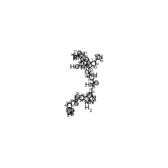 Cc1ncsc1-c1ccc([C@H](CC(=O)NC(C)CC(C)C(=O)NCCCn2cc(-c3ccc4c(c3)CCN4C(=O)Cc3cccc(OC(F)(F)F)c3)c3c(N)ncnc32)NC(=O)[C@@H]2C[C@@H](O)CN2C(=O)C(NC(=O)C2(F)CC2)C(C)(C)C)cc1